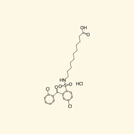 Cl.O=C(O)CCCCCCCCCCNS(=O)(=O)c1ccc(Cl)cc1C(=O)c1ccccc1Cl